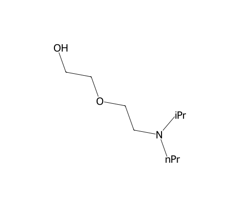 CCCN(CCOCCO)C(C)C